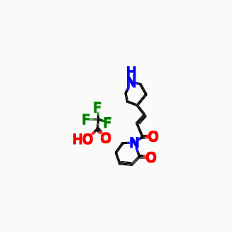 O=C(O)C(F)(F)F.O=C1C=CCCN1C(=O)/C=C/C1CCNCC1